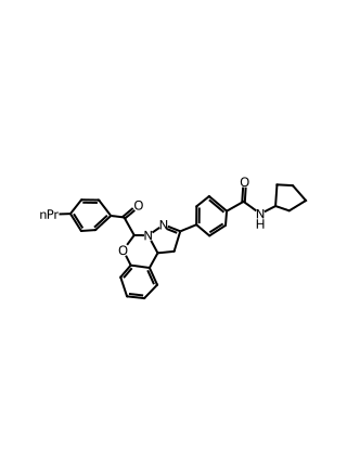 CCCc1ccc(C(=O)C2Oc3ccccc3C3CC(c4ccc(C(=O)NC5CCCC5)cc4)=NN23)cc1